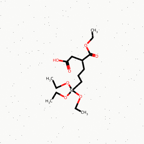 CCOC(=O)C(CCC[Si](OCC)(OCC)OCC)CC(=O)O